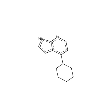 c1cc(C2CCCCC2)c2cc[nH]c2n1